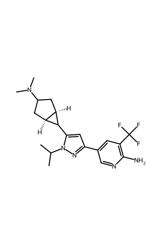 CC(C)n1nc(-c2cnc(N)c(C(F)(F)F)c2)cc1C1[C@H]2CC(N(C)C)C[C@@H]12